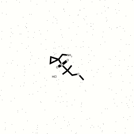 COCC(C)(C)S(=O)(=O)C1(CN)CC1.Cl